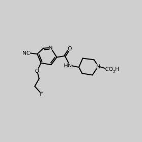 N#Cc1cnc(C(=O)NC2CCN(C(=O)O)CC2)cc1OCCF